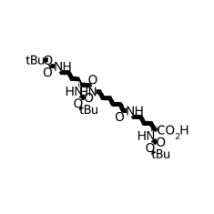 CC(C)(C)OC(=O)NCCCC[C@H](NC(=O)OC(C)(C)C)C(=O)NCCCCCC(=O)NCCCC[C@H](NC(=O)OC(C)(C)C)C(=O)O